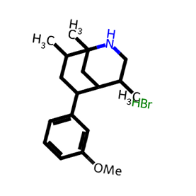 Br.COc1cccc(C2CC(C)C3(C)CC2C(C)CN3)c1